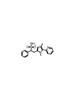 Cc1cc(CC(c2ccccc2)S(N)(=O)=O)n(C)c1-c1ccccn1